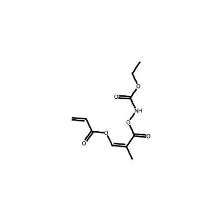 C=CC(=O)OC=C(C)C(=O)ONC(=O)OCC